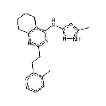 Cc1cc(Nc2nc(CCc3ccccc3C)nc3c2CCCC3)n[nH]1